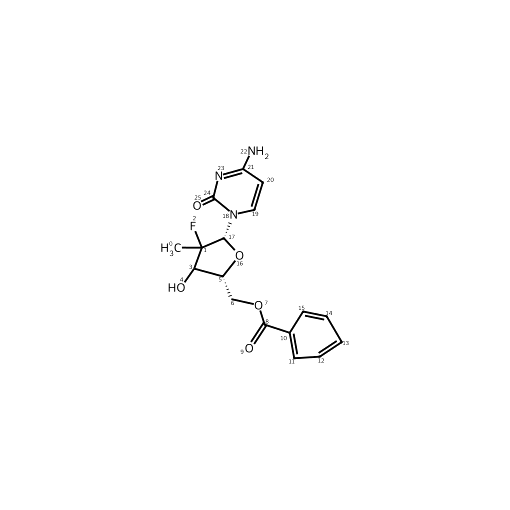 CC1(F)C(O)[C@@H](COC(=O)c2ccccc2)O[C@H]1n1ccc(N)nc1=O